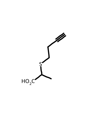 C#CCCSC(C)C(=O)O